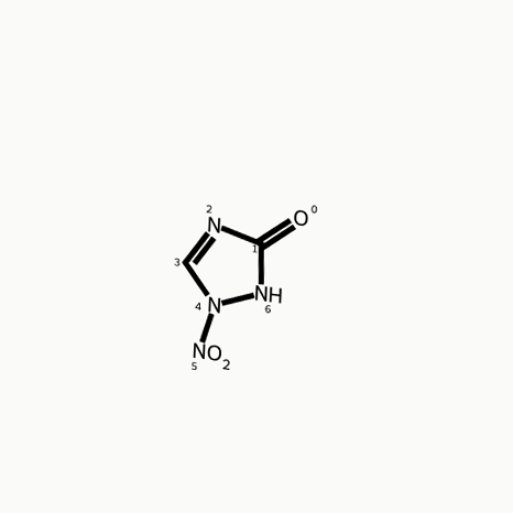 O=c1ncn([N+](=O)[O-])[nH]1